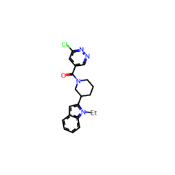 CCn1c(C2CCCN(C(=O)c3cnnc(Cl)c3)C2)cc2ccccc21